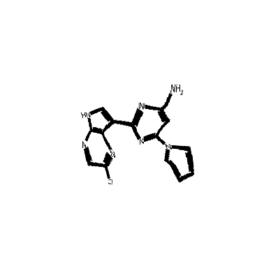 Nc1cc(-n2cccc2)nc(-c2c[nH]c3ncc(Cl)nc23)n1